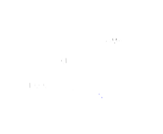 COc1ccnc(CC(C)C(=O)O)c1